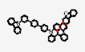 c1cc(-c2ccc(-c3ccc(N(c4ccc(-c5ccc6c(c5)oc5ccccc56)cc4)c4ccccc4-c4cc5ccccc5c5ccccc45)cc3)cc2)cc(-n2c3ccccc3c3ccccc32)c1